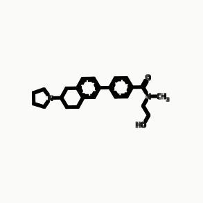 CN(CCO)C(=O)c1ccc(-c2ccc3c(c2)CCC(N2CCCC2)C3)cc1